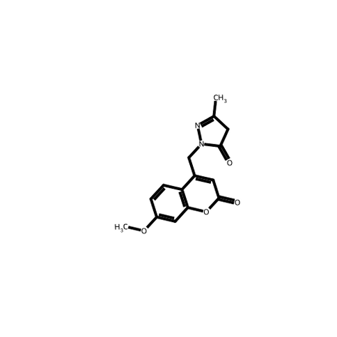 COc1ccc2c(CN3N=C(C)CC3=O)cc(=O)oc2c1